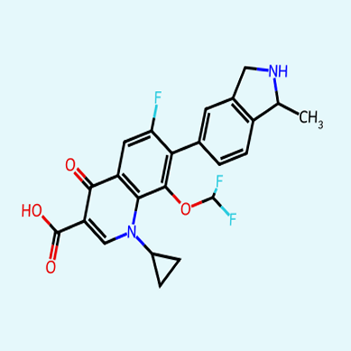 CC1NCc2cc(-c3c(F)cc4c(=O)c(C(=O)O)cn(C5CC5)c4c3OC(F)F)ccc21